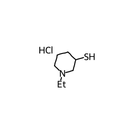 CCN1CCCC(S)C1.Cl